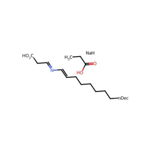 CCC(=O)O.CCCCCCCCCCCCCCCCC=CN=CCC(=O)O.[NaH]